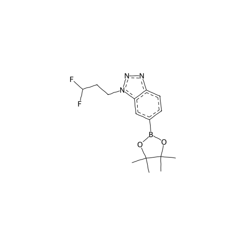 CC1(C)OB(c2ccc3nnn(CCC(F)F)c3c2)OC1(C)C